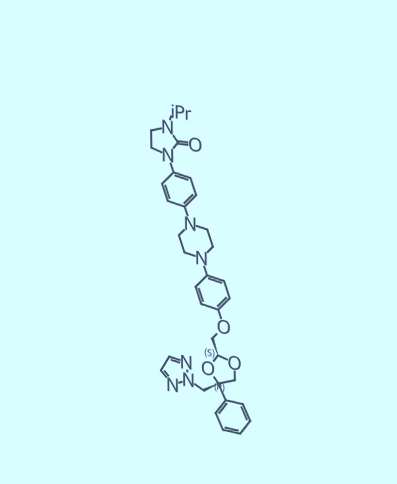 CC(C)N1CCN(c2ccc(N3CCN(c4ccc(OC[C@H]5OC[C@](Cn6nccn6)(c6ccccc6)O5)cc4)CC3)cc2)C1=O